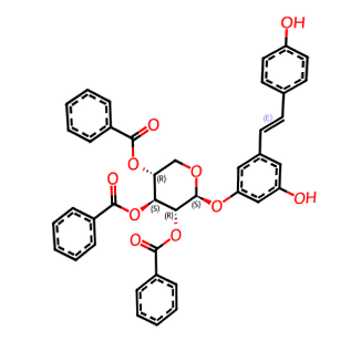 O=C(O[C@@H]1[C@@H](OC(=O)c2ccccc2)[C@H](Oc2cc(O)cc(/C=C/c3ccc(O)cc3)c2)OC[C@H]1OC(=O)c1ccccc1)c1ccccc1